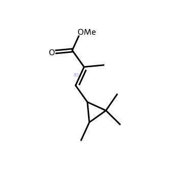 COC(=O)/C(C)=C/C1C(C)C1(C)C